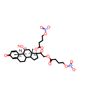 C[C@]12C=CC(=O)C=C1CCC1C3CC[C@](OC(=O)CCCO[N+](=O)[O-])(C(=O)COC(=O)CCCO[N+](=O)[O-])[C@@]3(C)C[C@H](O)[C@@H]12